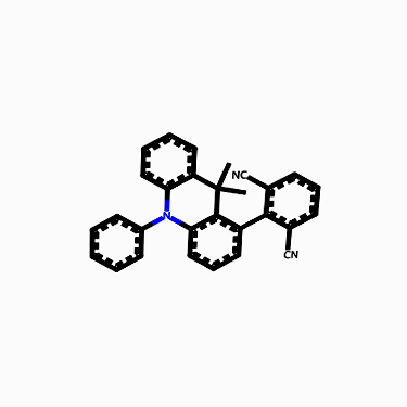 CC1(C)c2ccccc2N(c2ccccc2)c2cccc(-c3c(C#N)cccc3C#N)c21